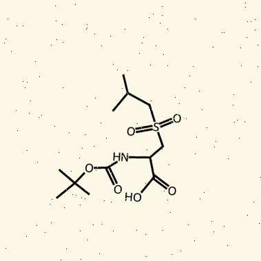 CC(C)CS(=O)(=O)CC(NC(=O)OC(C)(C)C)C(=O)O